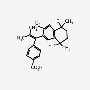 CC(C)=C(c1ccc(C(=O)O)cc1)c1cc2c(cc1C)C(C)(C)CCC2(C)C